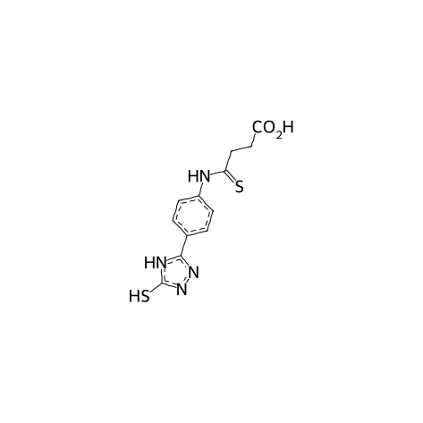 O=C(O)CCC(=S)Nc1ccc(-c2nnc(S)[nH]2)cc1